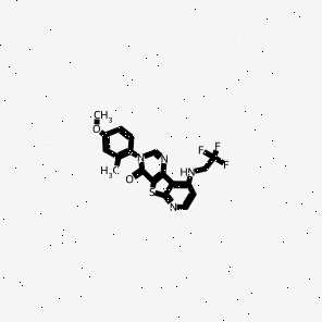 COc1ccc(-n2cnc3c(sc4nccc(NCC(F)(F)F)c43)c2=O)c(C)c1